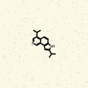 CC(C)c1cc2c(ccc3c(C(C)C)cncc32)[nH]1